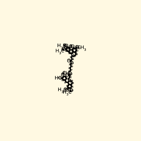 COc1ccc(CC2c3cc(OC)c(OC)cc3CCN2CCC(=O)OCCCCCOC(=O)CCN2CCc3cc(OC)c(OC)cc3C2Cc2ccc(OC)c(OC)c2)cc1O